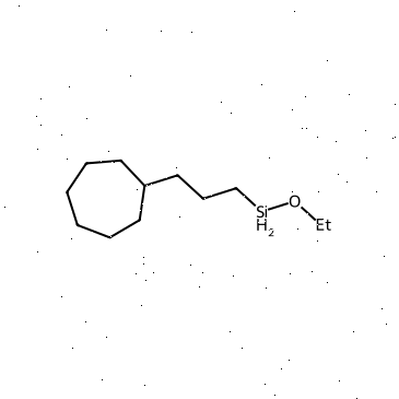 CCO[SiH2]CCCC1CCCCCC1